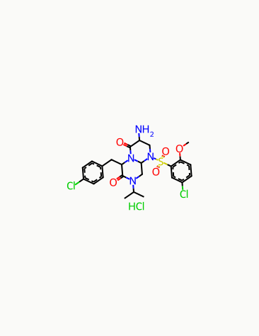 COc1ccc(Cl)cc1S(=O)(=O)N1CC(N)C(=O)N2C(Cc3ccc(Cl)cc3)C(=O)N(C(C)C)CC21.Cl